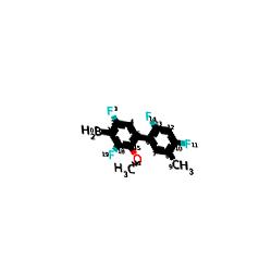 Bc1c(F)cc(-c2cc(C)c(F)cc2F)c(OC)c1F